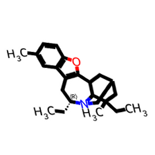 CC[C@@H]1Cc2c(oc3ccc(C)cc23)C2CC3CN1C2C(C)(CC)C3